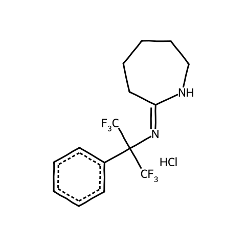 Cl.FC(F)(F)C(N=C1CCCCCN1)(c1ccccc1)C(F)(F)F